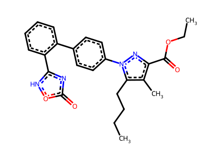 CCCCc1c(C)c(C(=O)OCC)nn1-c1ccc(-c2ccccc2-c2nc(=O)o[nH]2)cc1